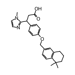 Cn1ccnc1C(CC(=O)O)c1ccc(OCc2ccc3c(c2)CCCC3(C)C)cc1